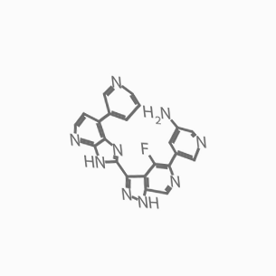 Nc1cncc(-c2ncc3[nH]nc(-c4nc5c(-c6cccnc6)ccnc5[nH]4)c3c2F)c1